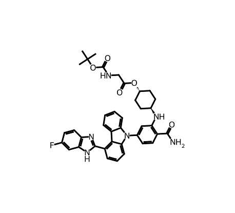 CC(C)(C)OC(=O)NCC(=O)O[C@H]1CC[C@H](Nc2cc(-n3c4ccccc4c4c(-c5nc6ccc(F)cc6[nH]5)cccc43)ccc2C(N)=O)CC1